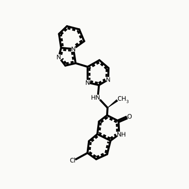 C[C@H](Nc1nccc(-c2cnc3ccccn23)n1)c1cc2cc(Cl)ccc2[nH]c1=O